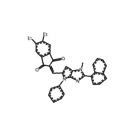 CCc1cc2c(cc1CC)C(=O)C(=Cc1cc3c(nc(-c4cccc5ccccc45)n3C)n1-c1ccccc1)C2=O